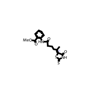 COC(=O)c1ccccc1NC(=O)CCC/C(C)=C1\SC(=S)NC1=O